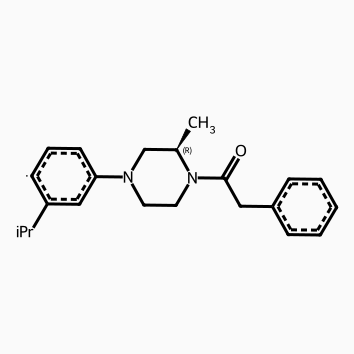 CC(C)c1[c]ccc(N2CCN(C(=O)Cc3ccccc3)[C@H](C)C2)c1